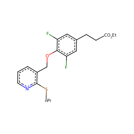 CCCSc1ncccc1COc1c(F)cc(CCC(=O)OCC)cc1F